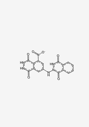 O=c1[nH]n(Nc2cc([N+](=O)[O-])c3c(=O)[nH][nH]c(=O)c3c2)c(=O)c2ccccc12